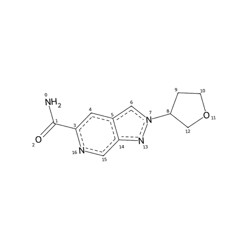 NC(=O)c1cc2cn(C3CCOC3)nc2cn1